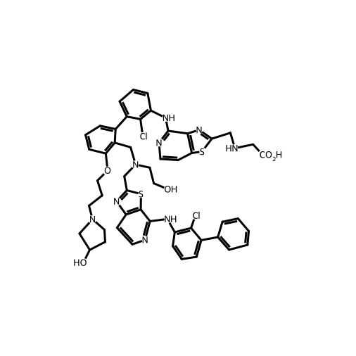 O=C(O)CNCc1nc2c(Nc3cccc(-c4cccc(OCCCN5CCC(O)C5)c4CN(CCO)Cc4nc5ccnc(Nc6cccc(-c7ccccc7)c6Cl)c5s4)c3Cl)nccc2s1